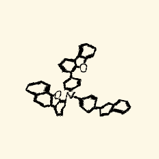 c1ccc2cc(-c3ccc(N(c4ccc(-c5cccc6c5oc5ccccc56)cc4)c4cccc5c4oc4c6ccccc6ccc54)cc3)ccc2c1